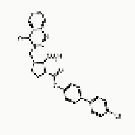 O=C(O)[C@@H]1[C@H](Cn2nnc3ccccc3c2=O)CC[C@@H]1C(=O)Oc1ccc(-c2ccc(Cl)cc2)cc1